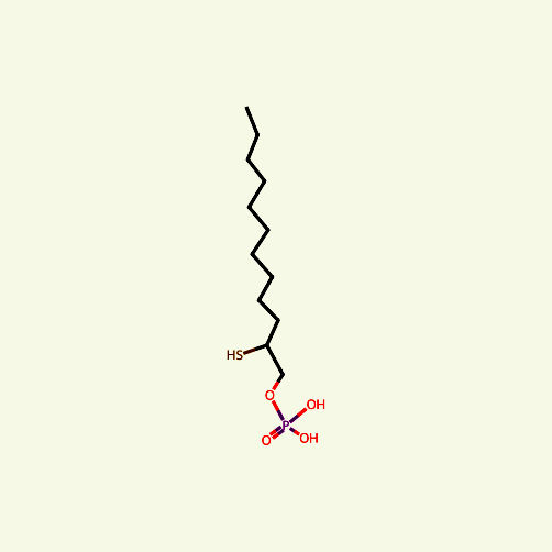 CCCCCCCCCCC(S)COP(=O)(O)O